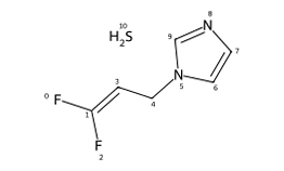 FC(F)=CCn1ccnc1.S